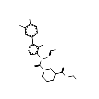 C/C=N/N(C(=S)N1CCCC(C(=O)OCC)C1)c1csc(-c2ccc(Cl)c(Cl)c2)c1O